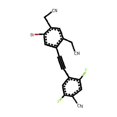 N#CCc1cc(CC#N)c(C#Cc2cc(F)c(C#N)cc2F)cc1Br